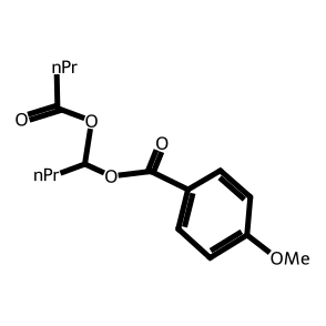 CCCC(=O)OC(CCC)OC(=O)c1ccc(OC)cc1